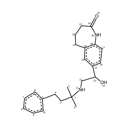 CC(C)(CCc1ccccc1)NCC(O)c1ccc2c(c1)CCCC(=O)N2